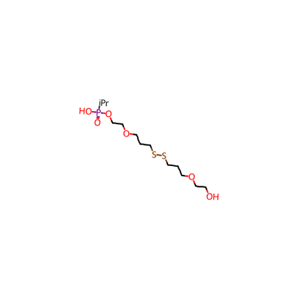 CC(C)P(=O)(O)OCCOCCCSSCCCOCCO